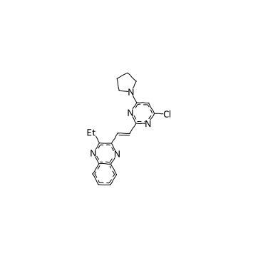 CCc1nc2ccccc2nc1/C=C/c1nc(Cl)cc(N2CCCC2)n1